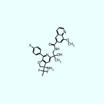 COc1cc(C(=O)NC[C@](C)(O)c2cc3c(c(-c4ccc(F)cc4)n2)OC[C@@]3(N)C(F)(F)F)cc2cccnc12